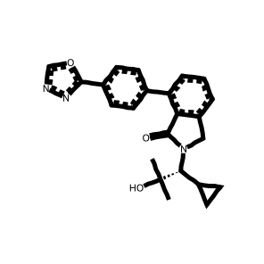 CC(C)(O)[C@@H](C1CC1)N1Cc2cccc(-c3ccc(-c4nnco4)cc3)c2C1=O